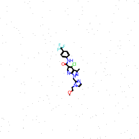 COCCn1ccnc1Cn1nc(C)c2c(Cl)c(C(=O)Nc3ccc(C(F)(F)F)cc3)cnc21